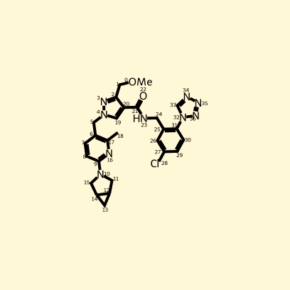 COCc1nn(Cc2ccc(N3CC4CC4C3)nc2C)cc1C(=O)NCc1cc(Cl)ccc1-n1cnnn1